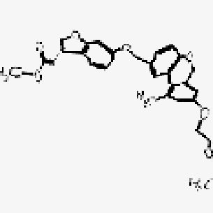 CCOCCOc1cc(C)c2c(c1)COc1ccc(COc3ccc4c(c3)OC[C@H]4CC(=O)OC)cc1-2